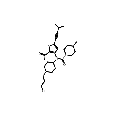 CC(C)C#Cc1cc(N(C(=O)[C@H]2CC[C@H](C)CC2)[C@H]2CC[C@@H](OCCO)CC2)c(C(=O)O)s1